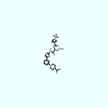 COC[C@H](NC(=O)c1ccn(S(C)(=O)=O)c1)C(=O)Nc1nc(-c2cccc(N3CCC(C(F)F)CC3)c2)cs1